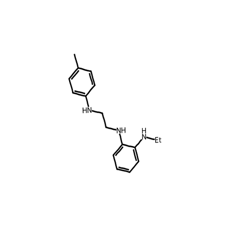 CCNc1ccccc1NCCNc1ccc(C)cc1